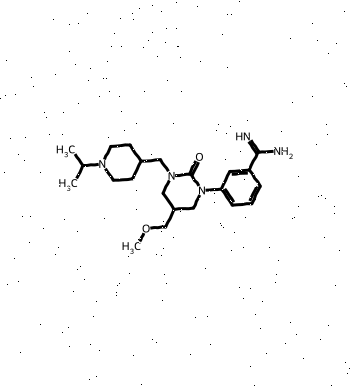 COCC1CN(CC2CCN(C(C)C)CC2)C(=O)N(c2cccc(C(=N)N)c2)C1